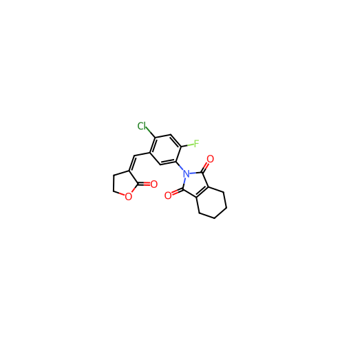 O=C1OCCC1=Cc1cc(N2C(=O)C3=C(CCCC3)C2=O)c(F)cc1Cl